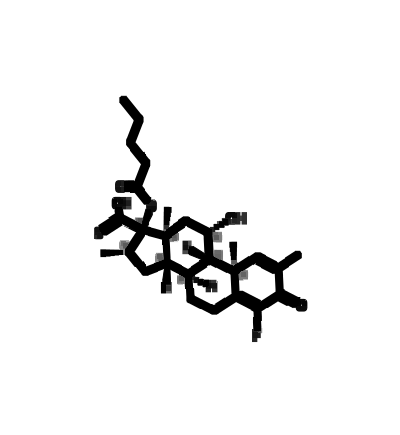 CCCCC(=O)O[C@]1(C(O)=S)[C@@H](C)C[C@H]2[C@@H]3CCC4=C(F)C(=O)C(C)=C[C@]4(C)[C@@]3(F)[C@@H](O)C[C@@]21C